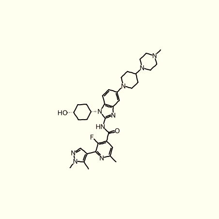 Cc1cc(C(=O)Nc2nc3cc(N4CCC(N5CCN(C)CC5)CC4)ccc3n2[C@H]2CC[C@@H](O)CC2)c(F)c(-c2cnn(C)c2C)n1